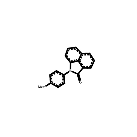 COc1ccc(N2C(=O)c3cccc4cccc2c34)cc1